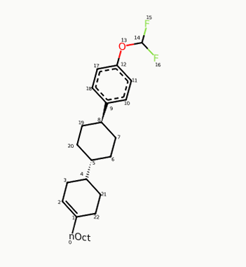 CCCCCCCCC1=CCC([C@H]2CC[C@H](c3ccc(OC(F)F)cc3)CC2)CC1